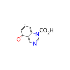 O=C(O)n1cncc2c(=O)c[c]cc1-2